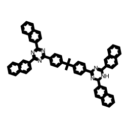 CC(C)(c1ccc(C2=NC(c3ccc4ccccc4c3)NC(c3ccc4ccccc4c3)=N2)cc1)c1ccc(-c2nc(-c3ccc4ccccc4c3)nc(-c3ccc4ccccc4c3)n2)cc1